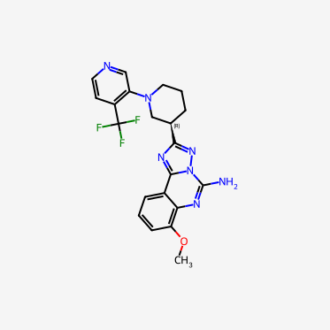 COc1cccc2c1nc(N)n1nc([C@@H]3CCCN(c4cnccc4C(F)(F)F)C3)nc21